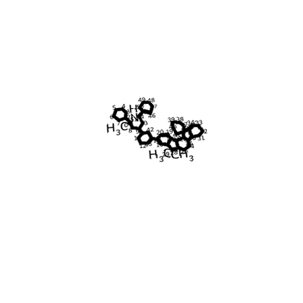 CC1(C2CCCCC2)CC(C2CCCC(C3=CC4C(C=C3)C3C5C(CCC3C4(C)C)C3CCCC=C3C53CCCCC3)C2)CC(C2=CCCCC2)N1